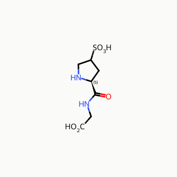 O=C(O)CNC(=O)[C@@H]1CC(S(=O)(=O)O)CN1